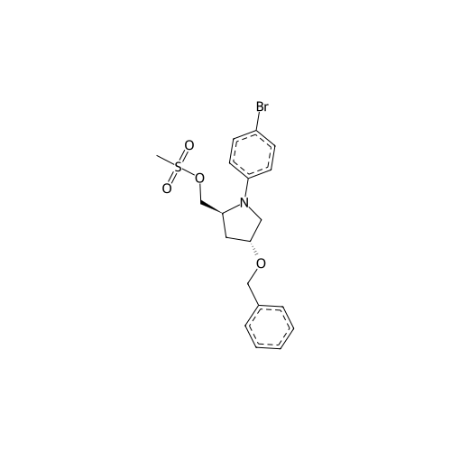 CS(=O)(=O)OC[C@@H]1C[C@@H](OCc2ccccc2)CN1c1ccc(Br)cc1